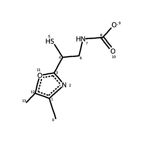 Cc1nc(C(S)CNC([O])=O)oc1C